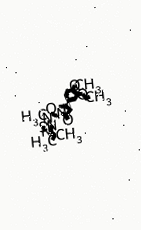 CCOc1cc([C@H]2CC(=O)N(CC(=O)N(C)c3nc(C(C)C)ns3)C2)ccc1OC